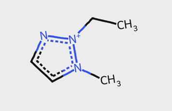 CC[n+]1nccn1C